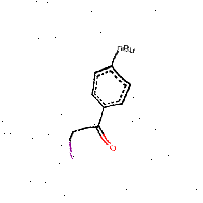 CCCCc1ccc(C(=O)CI)cc1